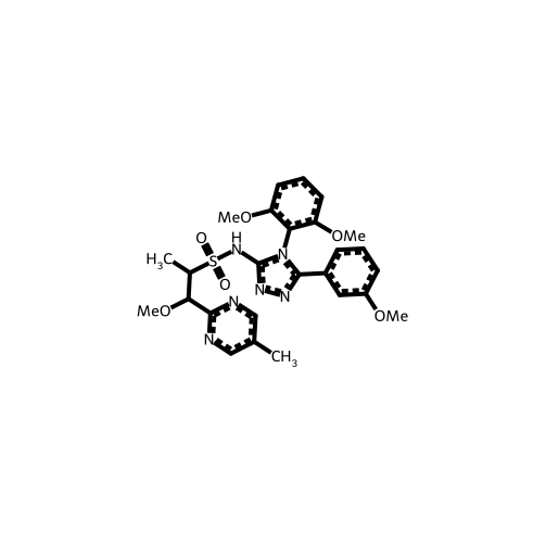 COc1cccc(-c2nnc(NS(=O)(=O)C(C)C(OC)c3ncc(C)cn3)n2-c2c(OC)cccc2OC)c1